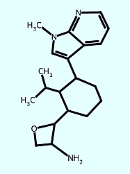 CC(C)C1C(c2cn(C)c3ncccc23)CCCC1C1OCC1N